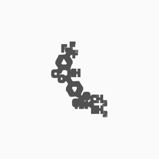 BC(C)NS(=O)(=O)c1ccc(C(=O)Nc2cc(C(F)(F)F)ccc2Cl)cc1